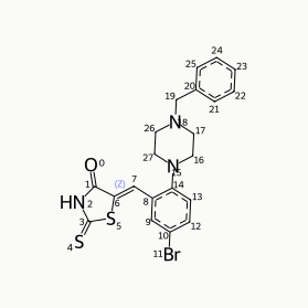 O=C1NC(=S)S/C1=C\c1cc(Br)ccc1N1CCN(Cc2ccccc2)CC1